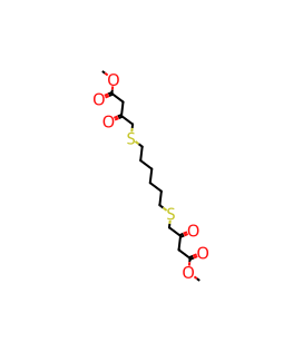 COC(=O)CC(=O)CSCCCCCCSCC(=O)CC(=O)OC